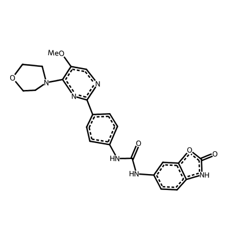 COc1cnc(-c2ccc(NC(=O)Nc3ccc4[nH]c(=O)oc4c3)cc2)nc1N1CCOCC1